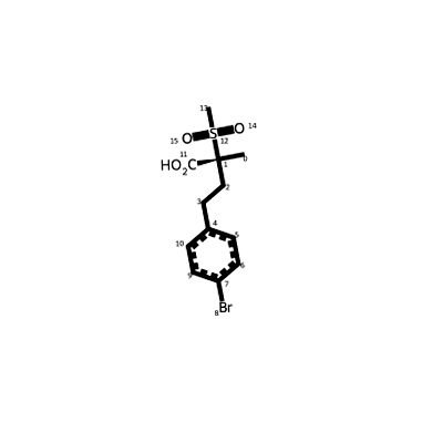 C[C@@](CCc1ccc(Br)cc1)(C(=O)O)S(C)(=O)=O